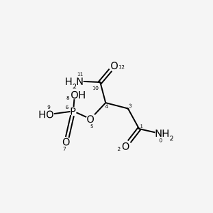 NC(=O)CC(OP(=O)(O)O)C(N)=O